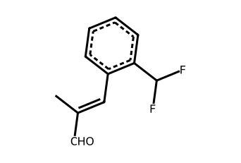 C/C(C=O)=C\c1ccccc1C(F)F